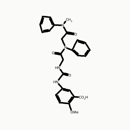 COc1ccc(NC(=O)NCC(=O)N(CC(=O)N(C)c2ccccc2)c2ccccc2)cc1C(=O)O